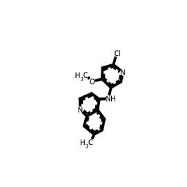 COc1cc(Cl)ncc1Nc1ccnc2cc(C)ccc12